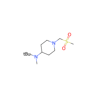 CN(C1CCN(CS(C)(=O)=O)CC1)C(C)(C)C